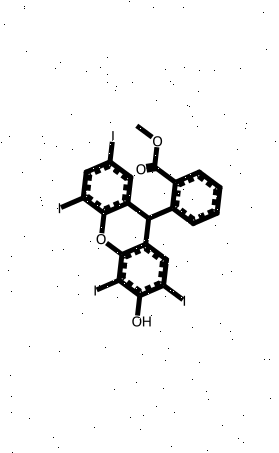 COC(=O)c1ccccc1C1c2cc(I)cc(I)c2Oc2c1cc(I)c(O)c2I